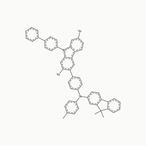 [2H]c1ccc2c3cc(-c4ccc(N(c5ccc(C)cc5)c5ccc6c(c5)C(C)(C)c5ccccc5-6)cc4)c([2H])cc3n(-c3ccc(-c4ccccc4)cc3)c2c1